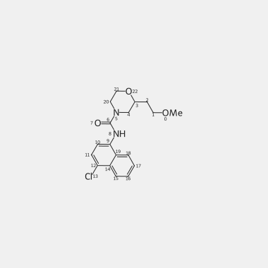 COCCC1CN(C(=O)Nc2ccc(Cl)c3ccccc23)CCO1